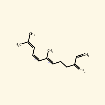 C=CC(=C)CC/C=C(C)/C=C\C=C(C)C